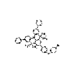 CC1(C)c2cc(-c3ccccc3)ccc2N2c3ccc(-c4ccccc4)cc3C(C)(C)c3cc(-c4ccc5sc6ccc(Br)cc6c5c4)cc1c32